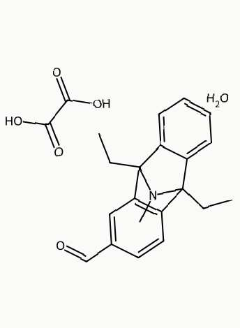 CCC12c3ccccc3C(CC)(c3cc(C=O)ccc31)N2C.O.O=C(O)C(=O)O